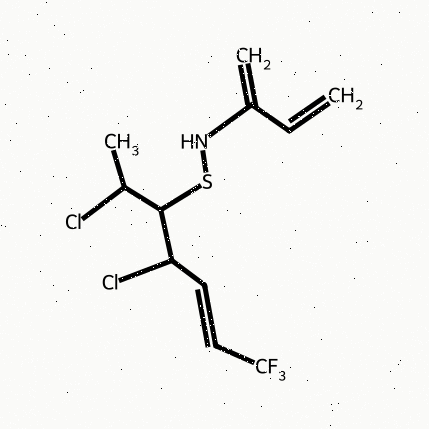 C=CC(=C)NSC(C(C)Cl)C(Cl)/C=C/C(F)(F)F